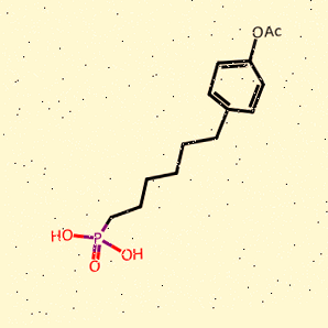 CC(=O)Oc1ccc(CCCCCCP(=O)(O)O)cc1